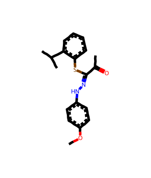 COc1ccc(NN=C(Sc2ccccc2C(C)C)C(C)=O)cc1